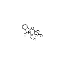 CC(C)C[C@@H](c1noc(=O)o1)N1C(=O)c2ccccc2C1=O